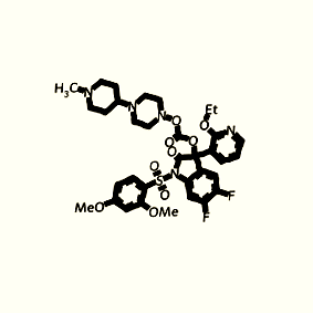 CCOc1ncccc1C1(OC(=O)ON2CCN(C3CCN(C)CC3)CC2)C(=O)N(S(=O)(=O)c2ccc(OC)cc2OC)c2cc(F)c(F)cc21